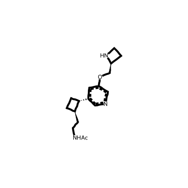 CC(=O)NCC[C@H]1CC[C@@H]1c1cncc(OC[C@@H]2CCN2)c1